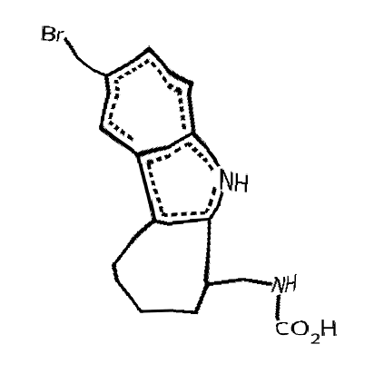 O=C(O)NC1CCCc2c1[nH]c1ccc(Br)cc21